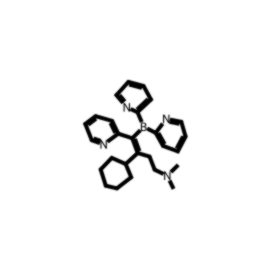 CN(C)CC/C(=C(\B(c1ccccn1)c1ccccn1)c1ccccn1)C1CCCCC1